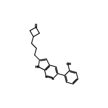 Oc1ccccc1-c1cc2cc(CCCC3CNC3)[nH]c2nn1